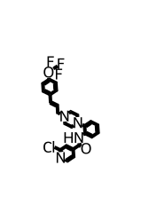 O=C(Nc1ccccc1N1CCN(CC=Cc2ccc(OC(F)(F)F)cc2)CC1)c1ccnc(Cl)c1